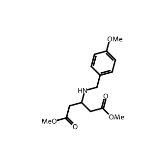 COC(=O)CC(CC(=O)OC)NCc1ccc(OC)cc1